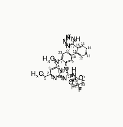 CCc1cc(N(C)c2ccc(-c3ccccc3-c3nnn[nH]3)cc2)n2nc(NS(=O)(=O)C(F)(F)F)nc2n1